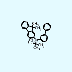 CC1(C)c2ccccc2-c2cc(F)c(N(c3cccc(-c4ccccc4)c3)C(C)(C)C)cc21